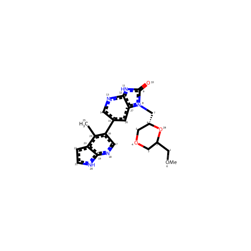 COCC1COC[C@H](Cn2c(=O)[nH]c3ncc(-c4cnc5[nH]ccc5c4C)cc32)O1